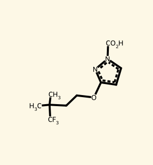 CC(C)(CCOc1ccn(C(=O)O)n1)C(F)(F)F